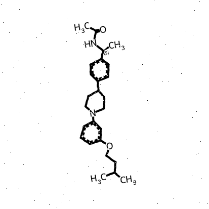 CC(=O)N[C@@H](C)c1ccc(C2CCN(c3cccc(OCCC(C)C)c3)CC2)cc1